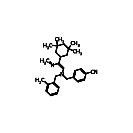 C=N/C(=C\N(Cc1ccc(C#N)cc1)Cc1ccccc1C)C1CC(C)(C)CC(C)(C)C1